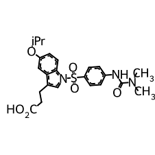 CC(C)Oc1ccc2c(c1)c(CCC(=O)O)cn2S(=O)(=O)c1ccc(NC(=O)N(C)C)cc1